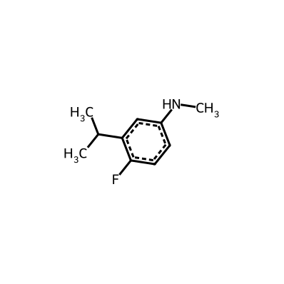 CNc1ccc(F)c(C(C)C)c1